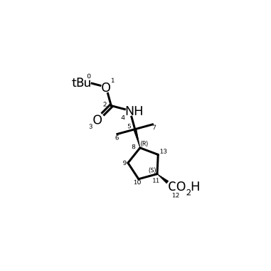 CC(C)(C)OC(=O)NC(C)(C)[C@@H]1CC[C@H](C(=O)O)C1